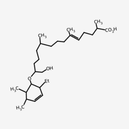 CCC1C=CC(C)C(C)C1OC(CO)CCCC(C)CCC/C(C)=C/CCC(C)C(=O)O